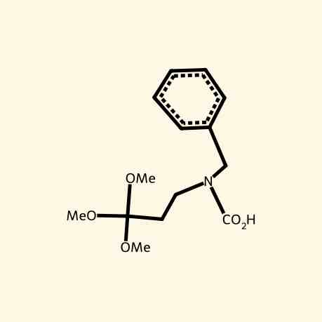 COC(CCN(Cc1ccccc1)C(=O)O)(OC)OC